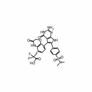 CN(C)S(=O)(=O)c1ccc(-c2[nH]c3nc(N)[nH]c(=O)c3c2-c2cccc3c2OCC(=O)N3)cc1.O=C(O)C(F)(F)F